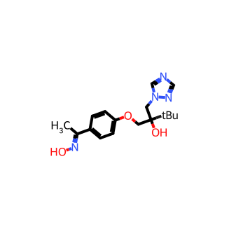 CC(=NO)c1ccc(OCC(O)(Cn2cncn2)C(C)(C)C)cc1